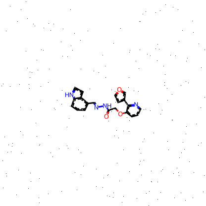 O=C(COc1cccnc1-c1ccoc1)NN=Cc1cccc2[nH]ccc12